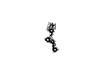 [2H]C([2H])([2H])Oc1ccc(CCO[C@H]2CCCCC2N2CC[C@@H](OCc3ccccc3)C2)cc1OC